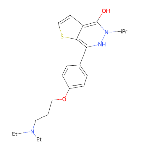 CCN(CC)CCCOc1ccc(C2=c3sccc3=C(O)N(C(C)C)N2)cc1